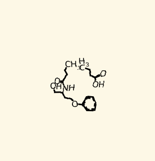 CCCC(=O)NC(CO)CCOc1ccccc1.CCCC(=O)O